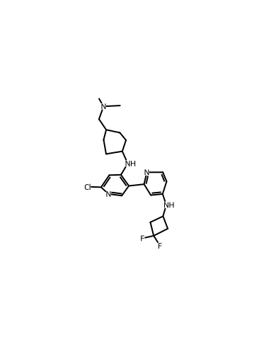 CN(C)CC1CCC(Nc2cc(Cl)ncc2-c2cc(NC3CC(F)(F)C3)ccn2)CC1